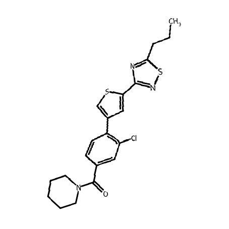 CCCc1nc(-c2cc(-c3ccc(C(=O)N4CCCCC4)cc3Cl)cs2)ns1